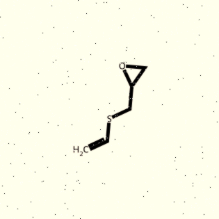 C=CSCC1CO1